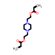 C=CC(=O)OCCN1CCN(CCOC(=O)C=C)CC1